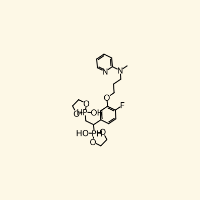 CN(CCCOc1cc(C(C[PH]2(O)OCCO2)[PH]2(O)OCCO2)ccc1F)c1ccccn1